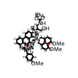 COc1ccc(CN(Cc2ccc(OC)cc2)S(=O)(=O)c2c(S(=O)(=O)C(CO)CNC(=O)OC(C)(C)C)ccc(-c3cccc4nc(N)[nH]c34)c2-c2nnn(Cc3ccc(OC)cc3)n2)cc1